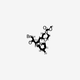 COC(=O)N1CCOC(Cc2c(C(=O)CBr)nc3cc(C)ccn23)C1